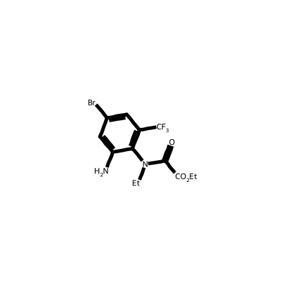 CCOC(=O)C(=O)N(CC)c1c(N)cc(Br)cc1C(F)(F)F